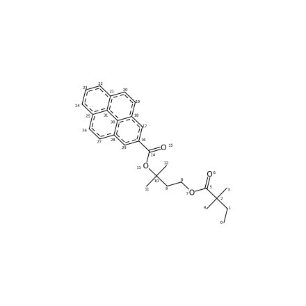 CCC(C)(C)C(=O)OCCC(C)(C)OC(=O)c1cc2ccc3cccc4ccc(c1)c2c34